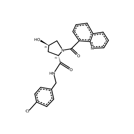 O=C(NCc1ccc(Cl)cc1)[C@@H]1C[C@@H](O)CN1C(=O)c1cccc2cccnc12